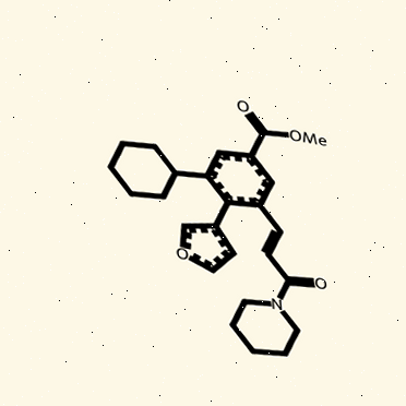 COC(=O)c1cc(C=CC(=O)N2CCCCC2)c(-c2ccoc2)c(C2CCCCC2)c1